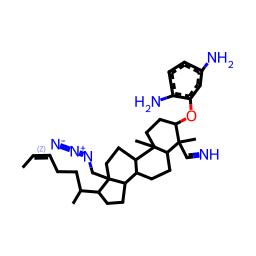 C/C=C\CCC(C)C1CCC2C3CCC4C(C)(C=N)C(Oc5cc(N)ccc5N)CCC4(C)C3CCC12CN=[N+]=[N-]